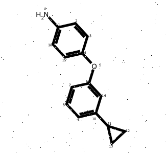 Nc1ccc(Oc2cccc(C3CC3)c2)cc1